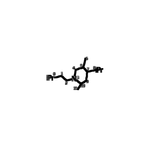 CC(C)CCN1CC(C)C(C(C)C)CC1C